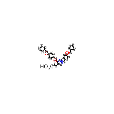 O=C(O)/C=C/c1cn(Cc2ccc(OCc3ccccc3)cc2)nc1OCc1ccc(OCc2ccccc2)cc1